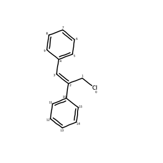 ClC/C(=C\c1ccccc1)c1ccccc1